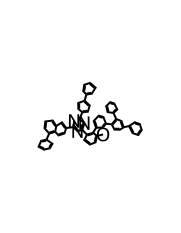 c1ccc(-c2ccc(-c3nc(-c4ccc5c(-c6ccccc6)cccc5c4)nc(-c4cccc5oc6c(-c7ccc(-c8ccccc8)cc7-c7ccccc7)cccc6c45)n3)cc2)cc1